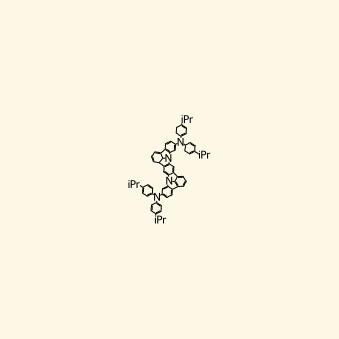 CC(C)C1=CCC(N(C2=CC=C(C(C)C)CC2)c2ccc3c(c2)N2c4cc5c6cccc7c8ccc(N(c9ccc(C(C)C)cc9)c9ccc(C(C)C)cc9)cc8n(c5cc4C4C=CC=C3C42)c76)C=C1